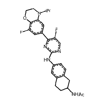 CC(=O)NC1CCc2cc(Nc3ncc(F)c(-c4cc(F)c5c(c4)N(C(C)C)CCO5)n3)ccc2C1